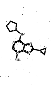 CCCCn1cnc(NC2CCCC2)c2nc(C3CC3)nc1-2